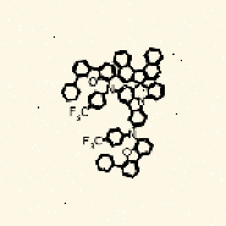 FC(F)(F)c1ccc(N(c2ccc3c(c2)c2cc(N(c4ccc(C(F)(F)F)cc4)c4cccc5c4oc4c(C6CCCCC6)cccc45)cc4c2n3-c2ccccc2C42c3ccc4ccccc4c3-c3c2ccc2ccccc32)c2cccc3c2oc2c(C4CCCCC4)cccc23)cc1